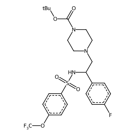 CC(C)(C)OC(=O)N1CCN(CC(NS(=O)(=O)c2ccc(OC(F)(F)F)cc2)c2ccc(F)cc2)CC1